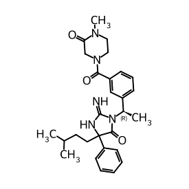 CC(C)CCC1(c2ccccc2)NC(=N)N([C@H](C)c2cccc(C(=O)N3CCN(C)C(=O)C3)c2)C1=O